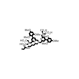 COc1cc(OC)c(-c2cc(CN(CC(=O)O)CC(=O)O)nc(CN(CCCCCCNC(=O)CI)Cc3cc(-c4c(OC)cc(OC)cc4OC)cc(CN(CC(=O)O)CC(=O)O)n3)c2)c(OC)c1